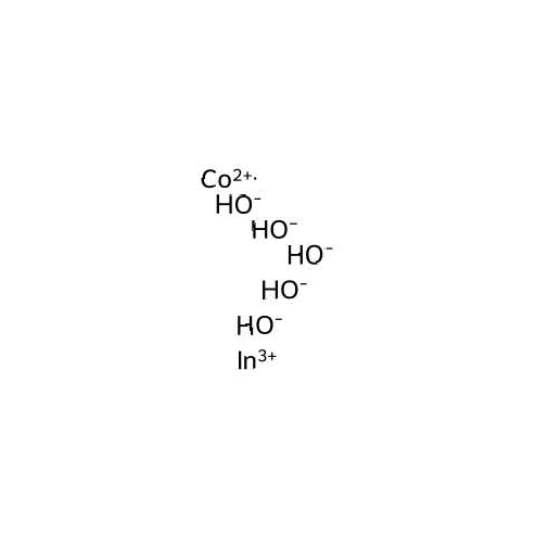 [Co+2].[In+3].[OH-].[OH-].[OH-].[OH-].[OH-]